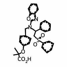 CC(C)(Oc1ccc(CN(c2nc3ccccc3o2)C(CS(=O)(=O)c2ccccc2)c2ccccc2)cc1)C(=O)O